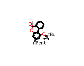 CCCCCc1cc2c(c(O[Si](C)(C)C(C)(C)C)c1)C1CCCC[C@@H]1C(=O)O2